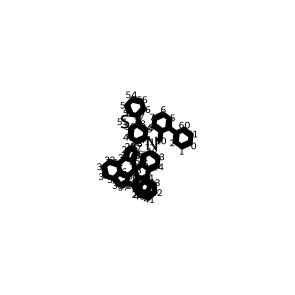 c1ccc(-c2ccccc2CN(c2ccc3c(c2)C2(c4ccccc4-3)c3ccccc3-c3cccc4ccc(-c5ccccc5)c2c34)c2ccc3sc4ccccc4c3c2)cc1